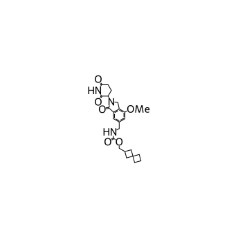 COc1cc(CNC(=O)OCC2CC3(CCC3)C2)cc2c1CN(C1CCC(=O)NC1=O)C2=O